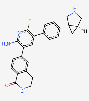 Nc1nc(F)c(-c2ccc([C@]34CNC[C@H]3C4)cc2)cc1-c1ccc2c(c1)CCNC2=O